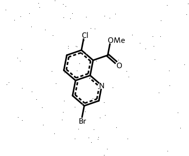 COC(=O)c1c(Cl)ccc2cc(Br)cnc12